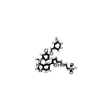 CN(c1ccc(OCC2=CCCC(F)=C2)c(Cl)c1)c1ncnc2ccc(-c3ccc(CNCCS(C)(=O)=O)o3)cc12